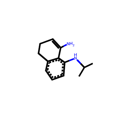 CC(C)Nc1cccc2c1C(N)=CCC2